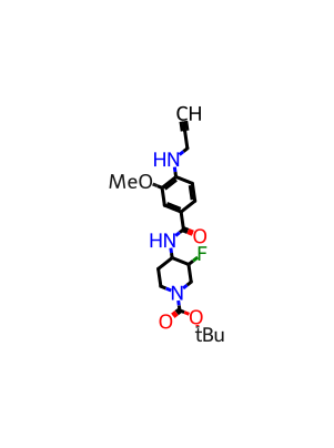 C#CCNc1ccc(C(=O)NC2CCN(C(=O)OC(C)(C)C)CC2F)cc1OC